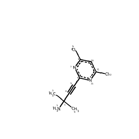 CC(C)(N)C#Cc1nc(Cl)cc(Cl)n1